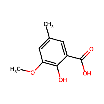 COc1cc(C)cc(C(=O)O)c1O